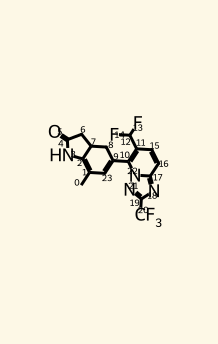 CC1=C2NC(=O)CC2CC(c2c(C(F)F)ccc3nc(C(F)(F)F)nn23)=C1